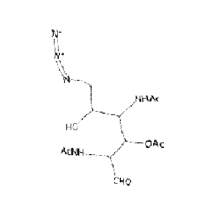 CC(=O)NC(C=O)C(OC(C)=O)C(NC(C)=O)C(O)CN=[N+]=[N-]